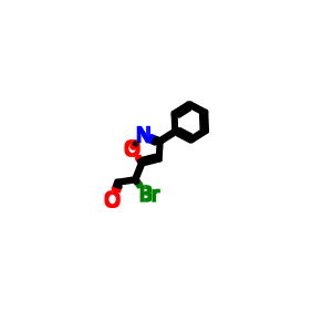 O=CC(Br)c1cc(-c2ccccc2)no1